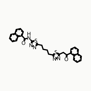 O=C(Cc1nnc(CCCCc2nnc(NC(=O)c3cccc4ccccc34)s2)s1)c1cccc2ccccc12